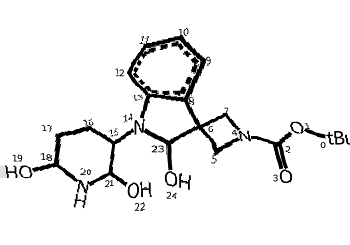 CC(C)(C)OC(=O)N1CC2(C1)c1ccccc1N(C1CCC(O)NC1O)C2O